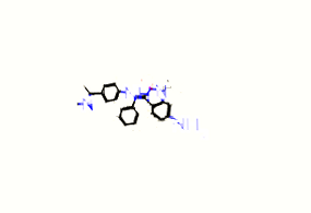 CC(=O)N1C(=O)/C(=C(\Nc2ccc(C(C)N(C)C)cc2)c2ccccc2)c2ccc(N)cc21